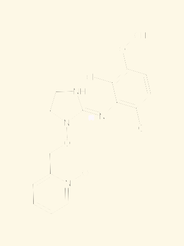 COc1ccc(Cl)c(/N=C2\NCCN2OCc2cccc[n+]2[O-])c1Cl